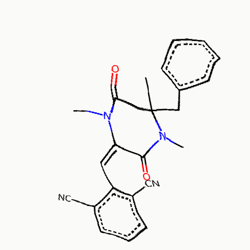 CN1C(=O)C(C)(Cc2ccccc2)N(C)C(=O)C1=Cc1c(C#N)cccc1C#N